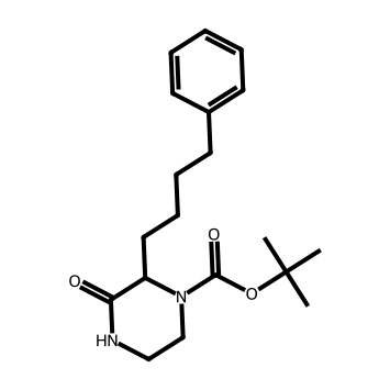 CC(C)(C)OC(=O)N1CCNC(=O)C1CCCCc1ccccc1